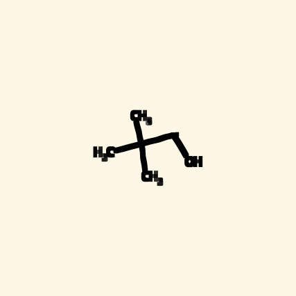 CC(C)(C)[C]O